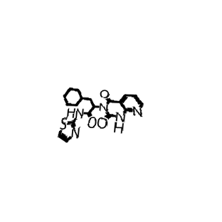 O=C(Nc1nccs1)C(CC1CCCCC1)n1c(=O)[nH]c2ncccc2c1=O